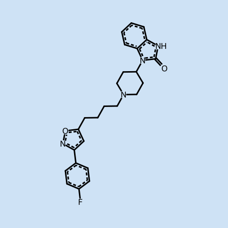 O=c1[nH]c2ccccc2n1C1CCN(CCCCc2cc(-c3ccc(F)cc3)no2)CC1